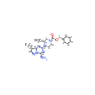 C[C@H]1CN(C(=O)OCc2ccccc2)CCN1c1nc(N)n2ncc(C(F)(F)F)c2n1